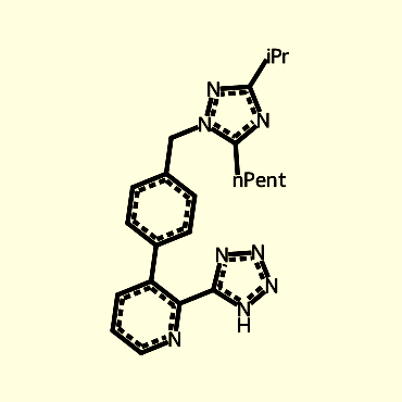 CCCCCc1nc(C(C)C)nn1Cc1ccc(-c2cccnc2-c2nnn[nH]2)cc1